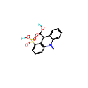 CN1c2ccccc2C(C(=O)OF)c2c1cccc2S(=O)(=O)OF